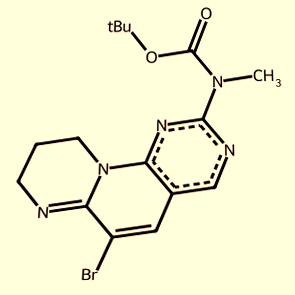 CN(C(=O)OC(C)(C)C)c1ncc2c(n1)N1CCCN=C1C(Br)=C2